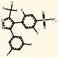 NS(=O)(=O)c1cc(F)c(-c2c(-c3cc(F)cc(F)c3)noc2C(F)(F)F)cc1F